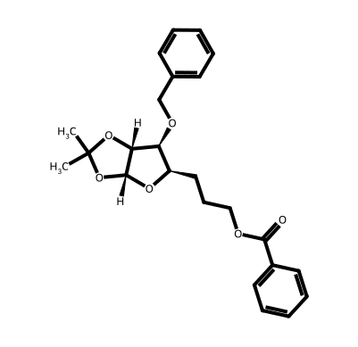 CC1(C)O[C@H]2O[C@H](CCCOC(=O)c3ccccc3)[C@H](OCc3ccccc3)[C@H]2O1